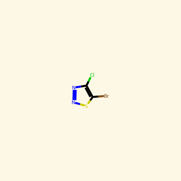 Clc1nnsc1Br